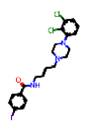 O=C(NCC=CCN1CCN(c2cccc(Cl)c2Cl)CC1)c1ccc(I)cc1